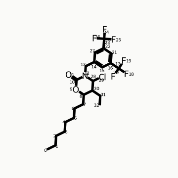 CCCCCCCCC1OC(=O)N(Cc2cc(C(F)(F)F)cc(C(F)(F)F)c2)C(Cl)C1CC